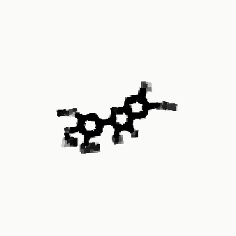 CCCCCCCCc1cc2c(=O)c(O)c(-c3cc(OC)c(OCCCC)c(OC)c3)oc2cc1CC